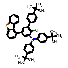 CC(C)(C)c1ccc(-c2cc(-c3cccc4sc5ccccc5c34)cc(N(c3ccc(C(C)(C)C)cc3)c3ccc(C(C)(C)C)cc3)c2Cl)cc1